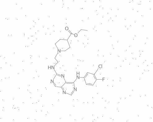 CCOC(=O)C1CCN(CCNc2ncc3ncnc(Nc4ccc(F)c(Cl)c4)c3n2)CC1